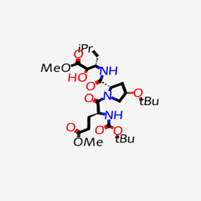 COC(=O)CC[C@H](NC(=O)OC(C)(C)C)C(=O)N1C[C@H](OC(C)(C)C)C[C@H]1C(=O)N[C@@H](CC(C)C)C(O)C(=O)OC